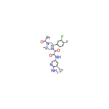 CC(C)C(=O)N1C[C@@H](c2ccc(F)c(F)c2)N(C(=O)C(=O)Nc2cnc(N)c(C3CC3)c2)C[C@H]1C